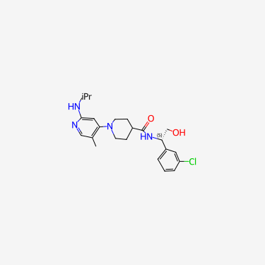 Cc1cnc(NC(C)C)cc1N1CCC(C(=O)N[C@H](CO)c2cccc(Cl)c2)CC1